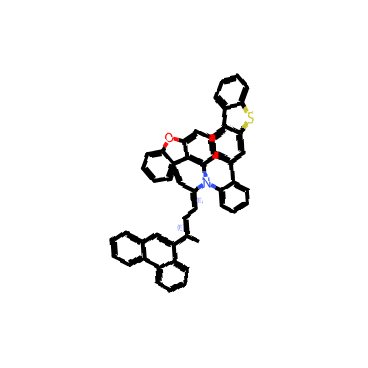 C=C/C(=C\C=C(/C)c1cc2ccccc2c2ccccc12)N(c1ccccc1-c1ccc2c(c1)sc1ccccc12)c1cccc2oc3ccccc3c12